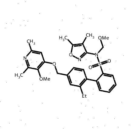 CCc1cc(COc2cc(C)nc(C)c2OC)ccc1-c1ccccc1S(=O)(=O)N(COC)c1noc(C)c1C